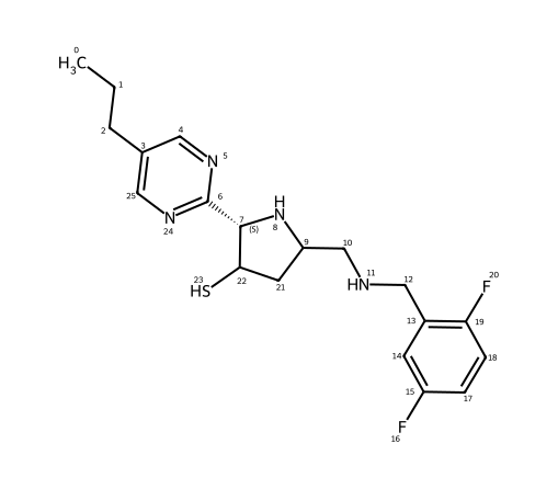 CCCc1cnc([C@@H]2NC(CNCc3cc(F)ccc3F)CC2S)nc1